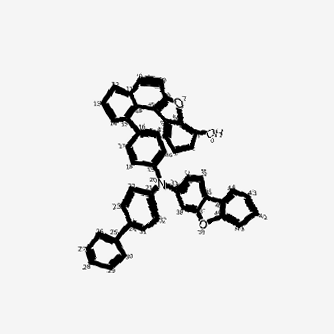 Oc1cccc2c1oc1ccc3cccc(-c4ccc(N(c5ccc(-c6ccccc6)cc5)c5ccc6c(c5)oc5ccccc56)cc4)c3c12